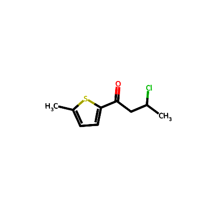 Cc1ccc(C(=O)CC(C)Cl)s1